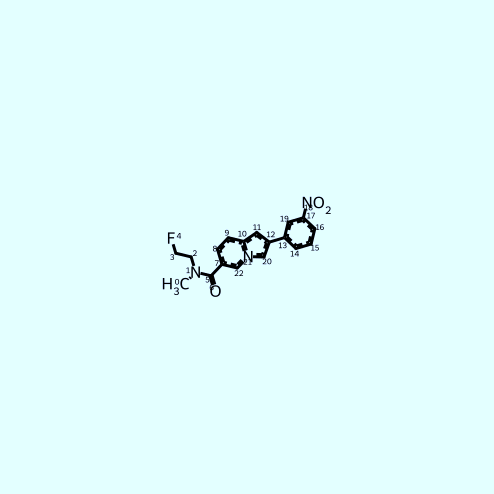 CN(CCF)C(=O)c1ccc2cc(-c3cccc([N+](=O)[O-])c3)cn2c1